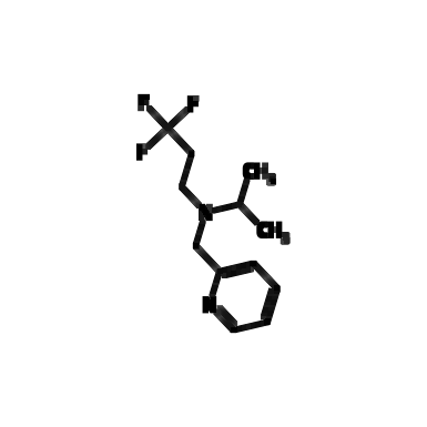 CC(C)N(CCC(F)(F)F)Cc1ccccn1